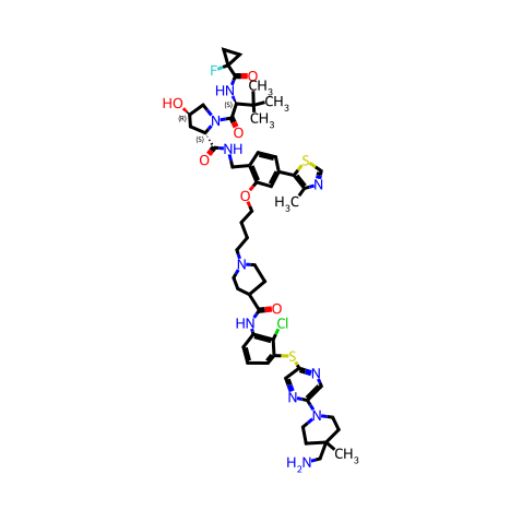 Cc1ncsc1-c1ccc(CNC(=O)[C@@H]2C[C@@H](O)CN2C(=O)[C@@H](NC(=O)C2(F)CC2)C(C)(C)C)c(OCCCCN2CCC(C(=O)Nc3cccc(Sc4cnc(N5CCC(C)(CN)CC5)cn4)c3Cl)CC2)c1